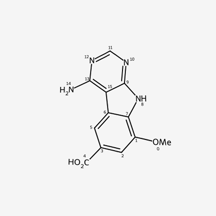 COc1cc(C(=O)O)cc2c1[nH]c1ncnc(N)c12